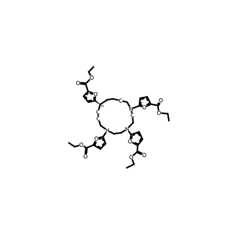 CCOC(=O)c1ccc([C@H]2CCCCN(c3ccc(C(=O)OCC)o3)CCN(c3ccc(C(=O)OCC)o3)CCN(c3ccc(C(=O)OCC)o3)CCC2)o1